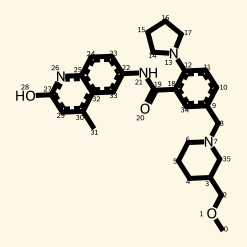 COCC1CCCN(Cc2ccc(N3CCCC3)c(C(=O)Nc3ccc4nc(O)cc(C)c4c3)c2)C1